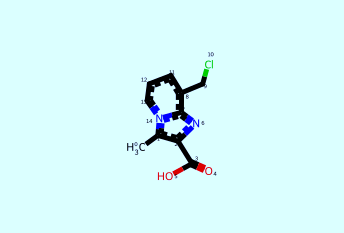 Cc1c(C(=O)O)nc2c(CCl)cccn12